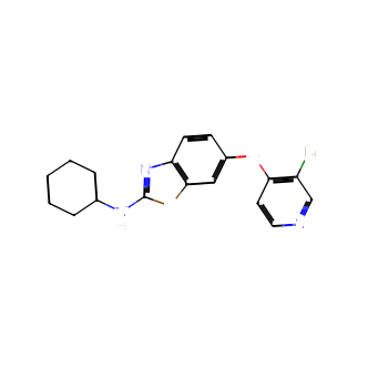 Brc1cnccc1Oc1ccc2nc(NC3CCCCC3)sc2c1